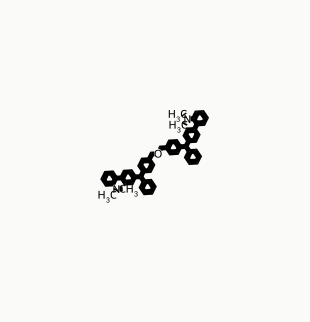 CN(C)c1ccccc1-c1ccc(C(c2ccccc2)c2ccc(COCc3ccc(C(c4ccccc4)c4ccc(-c5ccccc5N(C)C)cc4)cc3)cc2)cc1